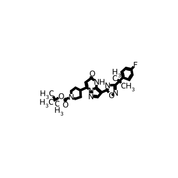 CC(C)(C)OC(=O)N1CCC(c2cc(=O)[nH]c3c(-c4nc(C(C)(C)c5ccc(F)cc5)no4)cnn23)CC1